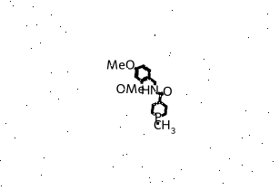 COc1ccc(CNC(=O)C2CCP(C)CC2)c(OC)c1